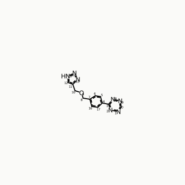 c1nnc(-c2ccc(COCc3c[nH]nn3)cc2)nn1